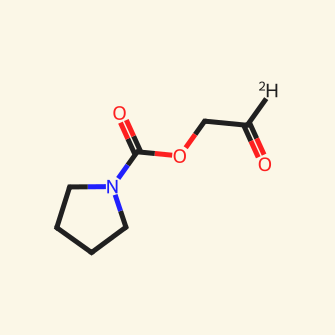 [2H]C(=O)COC(=O)N1CCCC1